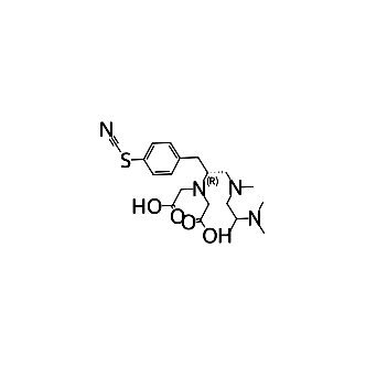 CC(CN(C)C[C@@H](Cc1ccc(SC#N)cc1)N(CC(=O)O)CC(=O)O)N(C)C